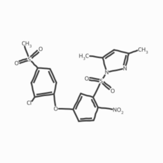 Cc1cc(C)n(S(=O)(=O)c2cc(Oc3ccc(S(C)(=O)=O)cc3Cl)ccc2[N+](=O)[O-])n1